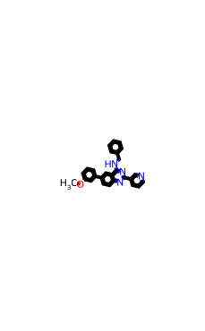 COc1cccc(-c2ccc3nc(-c4cccnc4)nc(NCc4ccccc4)c3c2)c1